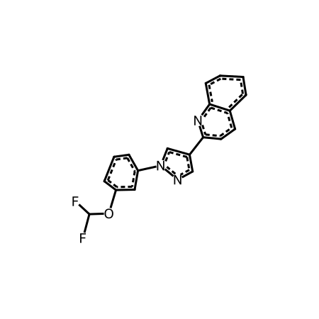 FC(F)Oc1cccc(-n2cc(-c3ccc4ccccc4n3)cn2)c1